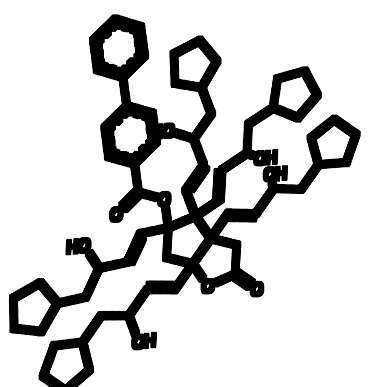 O=C1CC2(C=CC(O)CC3CCCC3)C(C=CC(O)CC3CCCC3)(CC(C=CC(O)CC3CCCC3)(OC(=O)c3ccc(-c4ccccc4)cc3)C2(C=CC(O)CC2CCCC2)C=CC(O)CC2CCCC2)O1